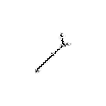 O=C(CBr)NCCCCC(NC(=O)COCCOCCNC(=O)CCCCCCCCCCCCCCCc1nnn[nH]1)C(=O)O